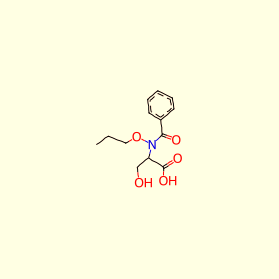 CCCON(C(=O)c1ccccc1)C(CO)C(=O)O